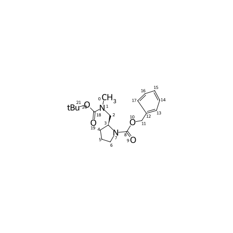 CN(C[C@@H]1CCCN1C(=O)OCc1ccccc1)C(=O)OC(C)(C)C